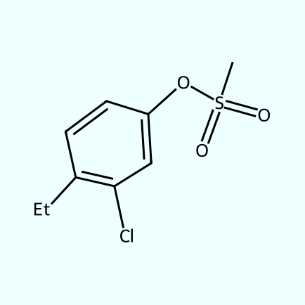 CCc1ccc(OS(C)(=O)=O)cc1Cl